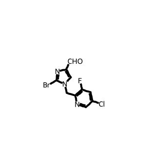 O=Cc1cn(Cc2ncc(Cl)cc2F)c(Br)n1